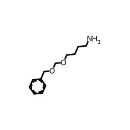 NCCCCOCOCc1ccccc1